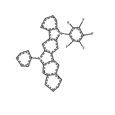 Fc1c(F)c(F)c(-n2c3ccccc3c3cc4c(cc32)c2cc3ccccc3cc2n4-c2ccccc2)c(F)c1F